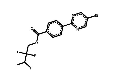 CCc1cnc(-c2ccc(C(=O)OCC(F)(F)C(F)F)cc2)nc1